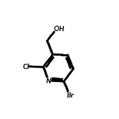 OCc1ccc(Br)nc1Cl